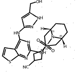 N#CC1CN(S(=O)(=O)N2[C@@H]3CCC[C@H]2C[C@H](Nc2nc(Nc4cc(CO)[nH]n4)c4ccsc4n2)C3)C1